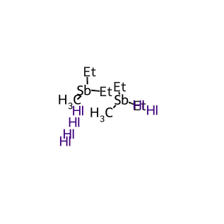 C[CH2][Sb]([CH3])[CH2]C.C[CH2][Sb]([CH3])[CH2]C.I.I.I.I.I.I